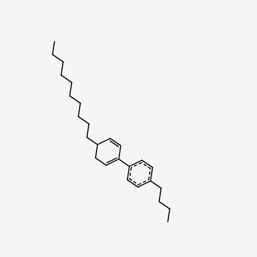 CCCCCCCCCCC1C=CC(c2ccc(CCCC)cc2)=CC1